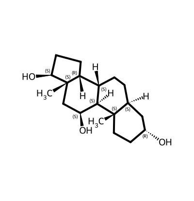 C[C@]12CC[C@@H](O)C[C@@H]1CC[C@@H]1[C@@H]2[C@@H](O)C[C@@]2(C)[C@@H]1CC[C@@H]2O